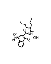 CCCCN(CCCC)C(C)NC(=O)c1cc([N+](=O)[O-])c2ccccc2c1OC.Cl